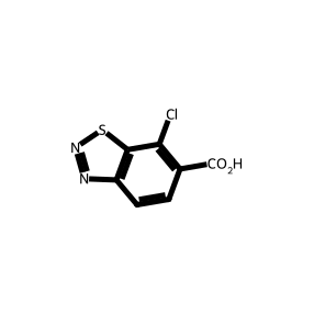 O=C(O)c1ccc2nnsc2c1Cl